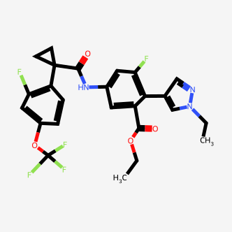 CCOC(=O)c1cc(NC(=O)C2(c3ccc(OC(F)(F)F)cc3F)CC2)cc(F)c1-c1cnn(CC)c1